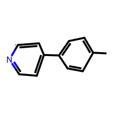 Cc1ccc(-c2c[c]ncc2)cc1